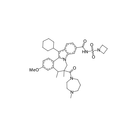 COc1ccc2c(c1)C(C)C(C)(C(=O)N1CCCN(C)CC1)Cn1c-2c(C2CCCCC2)c2ccc(C(=O)NS(=O)(=O)N3CCC3)cc21